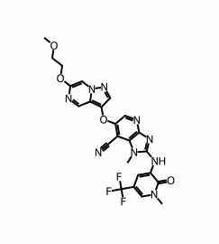 COCCOc1cn2ncc(Oc3cnc4nc(Nc5cc(C(F)(F)F)cn(C)c5=O)n(C)c4c3C#N)c2cn1